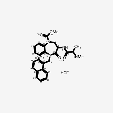 CNC(C)C(=O)NC1CN(C(=O)OC)c2ccccc2N(Cc2c(C)ccc3ccccc23)C1=O.Cl